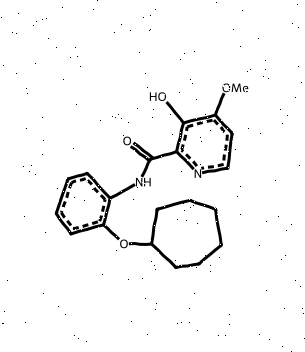 COc1ccnc(C(=O)Nc2ccccc2OC2CCCCCC2)c1O